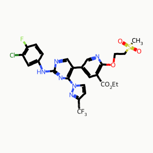 CCOC(=O)c1cc(-c2cnc(Nc3ccc(F)c(Cl)c3)nc2-n2ccc(C(F)(F)F)n2)cnc1OCCS(C)(=O)=O